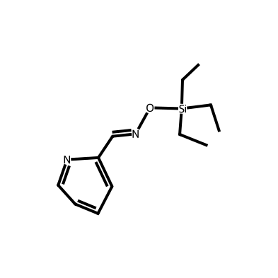 CC[Si](CC)(CC)ON=Cc1ccccn1